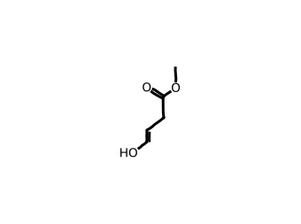 COC(=O)CC=CO